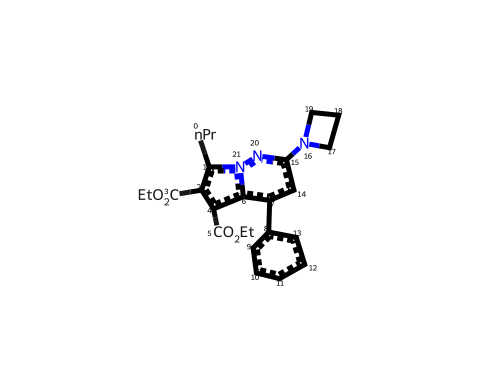 CCCc1c(C(=O)OCC)c(C(=O)OCC)c2c(-c3ccccc3)cc(N3CCC3)nn12